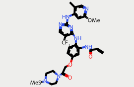 C=CC(=O)Nc1cc(OCC(=O)N2CCN(SC)CC2)ccc1Nc1nc(Nc2cc(OC)ncc2C)ncc1C(F)(F)F